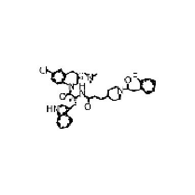 CN(C)C[C@H]1Cc2cc(Cl)ccc2N(C(=O)[C@@H](Cc2c[nH]c3ccccc23)NC(=O)CCC2CCN(C(=O)Cc3ccccc3F)CC2)C1